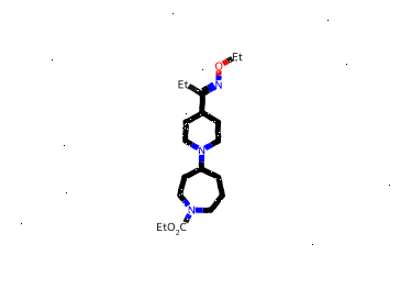 CCO/N=C(\CC)C1CCN(C2CCCN(C(=O)OCC)CC2)CC1